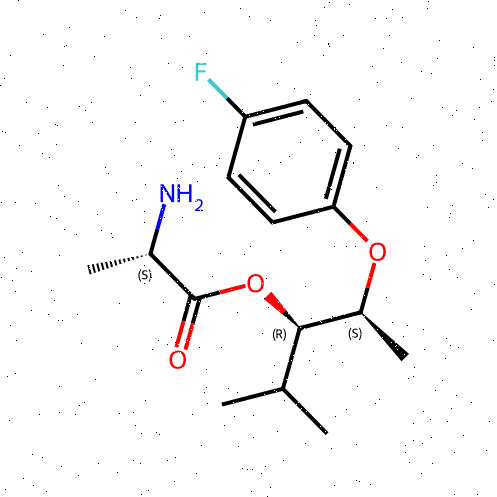 CC(C)[C@@H](OC(=O)[C@H](C)N)[C@H](C)Oc1ccc(F)cc1